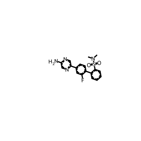 CN(C)S(=O)(=O)c1ccccc1-c1ccc(-c2cnc(N)cn2)cc1F